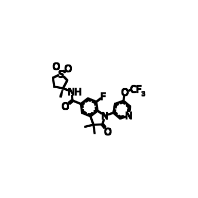 CC1(C)C(=O)N(c2cncc(OC(F)(F)F)c2)c2c(F)cc(C(=O)N[C@]3(C)CCS(=O)(=O)C3)cc21